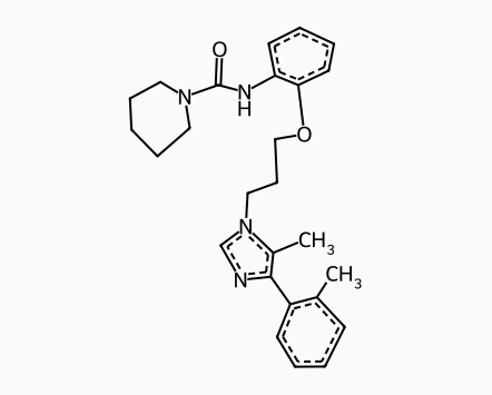 Cc1ccccc1-c1ncn(CCCOc2ccccc2NC(=O)N2CCCCC2)c1C